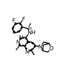 Cc1nc2c(C)nnc(N[C@H](C)c3cccc(F)c3F)c2cc1N1CC2CC1CO2